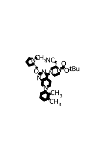 Cc1cccc(N2CCc3c(nc(OC[C@@H]4CCCN4C)nc3N3CCN(C(=O)OC(C)(C)C)[C@@H](CC#N)C3)C2)c1C